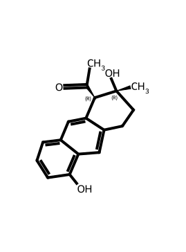 CC(=O)[C@@H]1c2cc3cccc(O)c3cc2CC[C@@]1(C)O